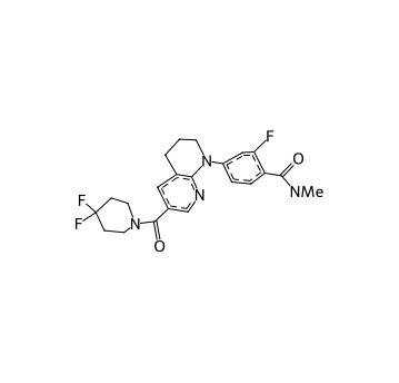 CNC(=O)c1ccc(N2CCCc3cc(C(=O)N4CCC(F)(F)CC4)cnc32)cc1F